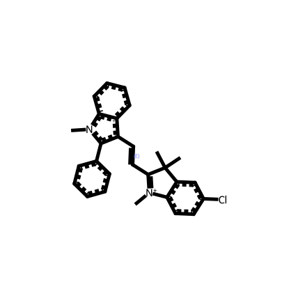 Cn1c(-c2ccccc2)c(/C=C/C2=[N+](C)c3ccc(Cl)cc3C2(C)C)c2ccccc21